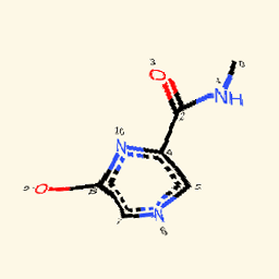 CNC(=O)c1cncc([O])n1